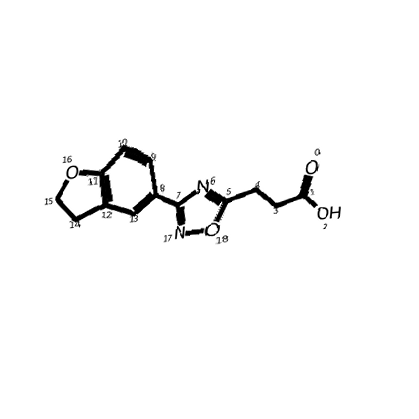 O=C(O)CCc1nc(-c2ccc3c(c2)CCO3)no1